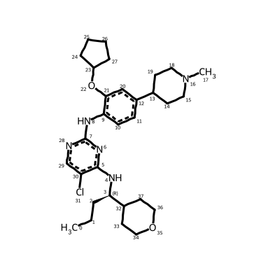 CCC[C@@H](Nc1nc(Nc2ccc(C3CCN(C)CC3)cc2OC2CCCC2)ncc1Cl)C1CCOCC1